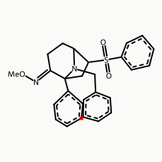 CON=C1CCC2C(S(=O)(=O)c3ccccc3)CC1(c1ccccc1)N2Cc1ccccc1